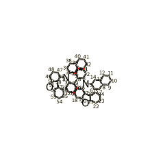 c1ccc(N(c2ccc3ccccc3c2)c2cccc3oc4ccccc4c23)c(-c2ccccc2N(c2ccc3ccccc3c2)c2cccc3oc4ccccc4c23)c1